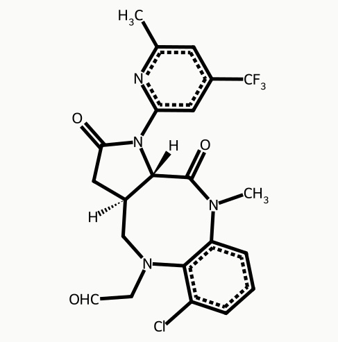 Cc1cc(C(F)(F)F)cc(N2C(=O)C[C@@H]3CN(CC=O)c4c(Cl)cccc4N(C)C(=O)[C@H]32)n1